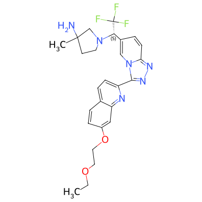 CCOCCOc1ccc2ccc(-c3nnc4ccc([C@H](N5CCC(C)(N)C5)C(F)(F)F)cn34)nc2c1